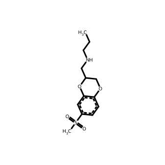 CCCNCC1COc2ccc(S(C)(=O)=O)cc2O1